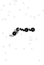 O=S(=O)(c1ccc(O)cc1)C1CCN(CCCCc2ccc(OCc3ccccc3)cc2)C1